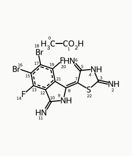 CC(=O)O.N=C1NC(=N)C(=C2NC(=N)c3c(F)c(Br)c(Br)c(F)c32)S1